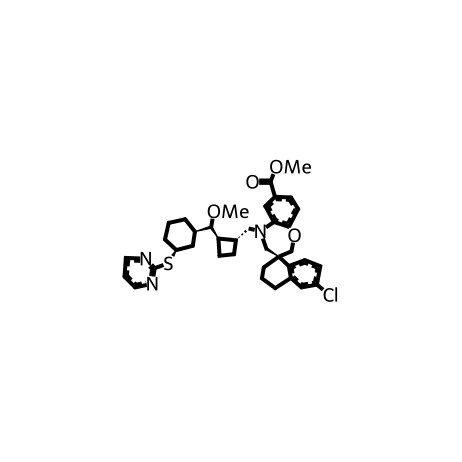 COC(=O)c1ccc2c(c1)N(C[C@@H]1CC[C@H]1C(OC)[C@@H]1CCC[C@H](Sc3ncccn3)C1)C[C@@]1(CCCc3cc(Cl)ccc31)CO2